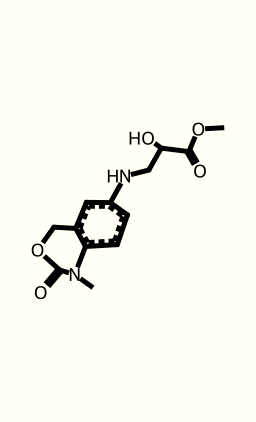 COC(=O)C(O)CNc1ccc2c(c1)COC(=O)N2C